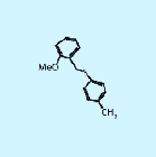 COc1ccccc1CSc1ccc(C)cc1